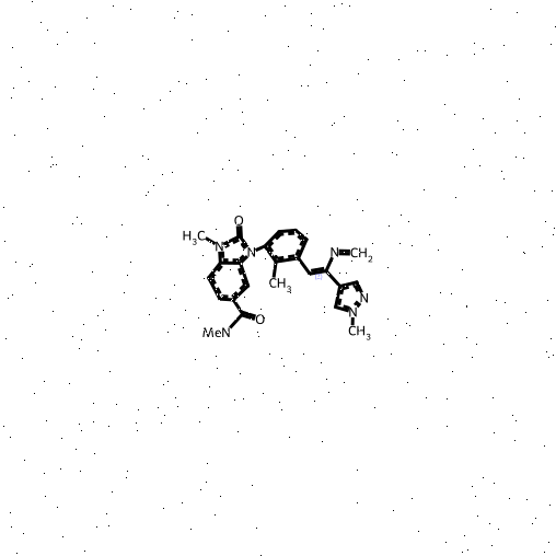 C=N/C(=C\c1cccc(-n2c(=O)n(C)c3ccc(C(=O)NC)cc32)c1C)c1cnn(C)c1